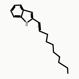 CCCCCCCC/C=C/c1cc2ccccc2[nH]1